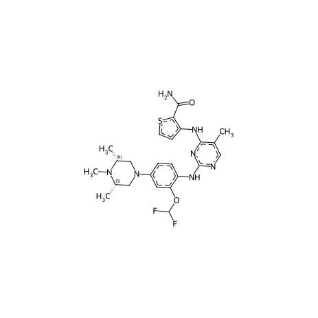 Cc1cnc(Nc2ccc(N3C[C@@H](C)N(C)[C@@H](C)C3)cc2OC(F)F)nc1Nc1ccsc1C(N)=O